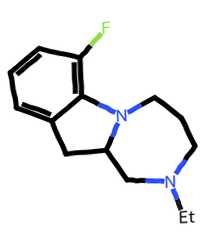 CCN1CCCN2c3c(F)cccc3CC2C1